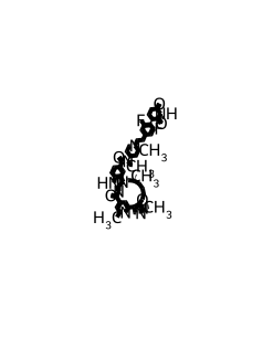 Cc1cc2cc(n1)-c1cnn(C)c1OCCC[C@@H](C)CN1/C(=N/C2=O)Nc2ccc(C(=O)N(C)[C@H]3CCN(CCc4cc(F)c([C@H]5CCC(=O)NC5=O)c(F)c4)[C@@H](C)C3)cc21